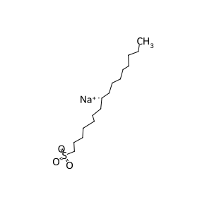 CCCCCCCC[CH]CCCCCCCS(=O)(=O)[O-].[Na+]